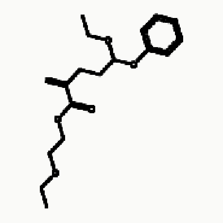 C=C(CCC(OCC)Oc1ccccc1)C(=O)OCCOCC